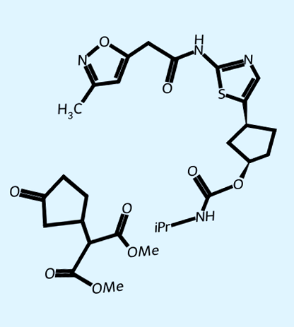 COC(=O)C(C(=O)OC)C1CCC(=O)C1.Cc1cc(CC(=O)Nc2ncc([C@H]3CC[C@@H](OC(=O)NC(C)C)C3)s2)on1